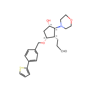 O=CCC[C@H]1[C@H](N2CCOCC2)[C@@H](O)C[C@H]1OCc1ccc(-c2cccs2)cc1